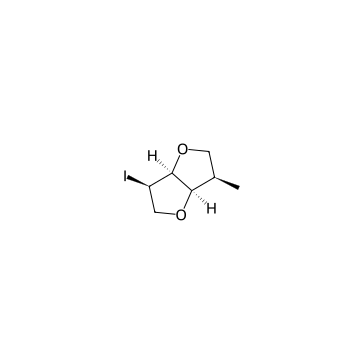 C[C@@H]1CO[C@H]2[C@@H]1OC[C@H]2I